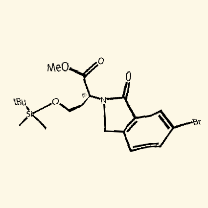 COC(=O)[C@H](CO[Si](C)(C)C(C)(C)C)N1Cc2ccc(Br)cc2C1=O